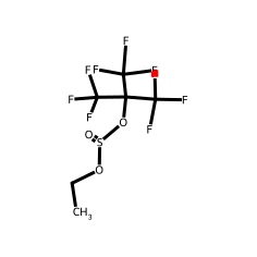 CCOS(=O)OC(C(F)(F)F)(C(F)(F)F)C(F)(F)F